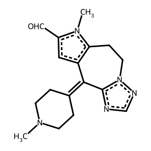 CN1CCC(=C2c3cc(C=O)n(C)c3CCn3ncnc32)CC1